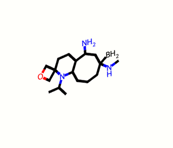 BC1(NC)CCCC2C(CCC3(COC3)N2C(C)C)C(N)C1